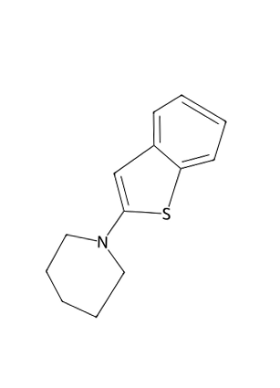 c1ccc2sc(N3CCCCC3)cc2c1